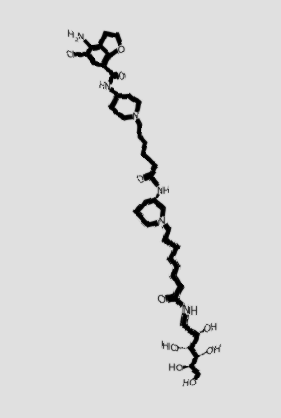 Nc1c(Cl)cc(C(=O)NC2CCN(CCCCCC(=O)N[C@@H]3CCCN(CCCCCCCC(=O)NC[C@H](O)[C@@H](O)[C@H](O)[C@H](O)CO)C3)CC2)c2c1CCO2